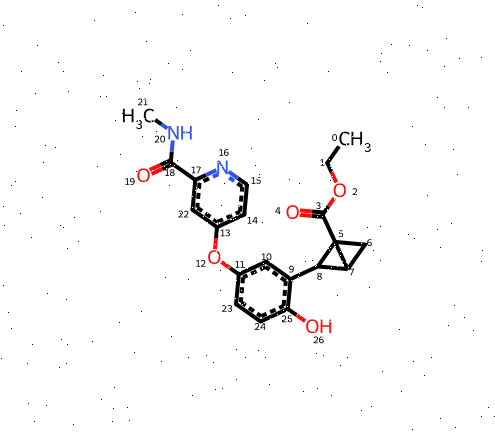 CCOC(=O)C12CC1C2c1cc(Oc2ccnc(C(=O)NC)c2)ccc1O